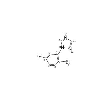 CCc1ccc(F)cc1-n1cncn1